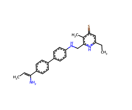 CC=C(N)c1ccc(-c2ccc(NCc3[nH]c(CC)cc(=S)c3C)cc2)cc1